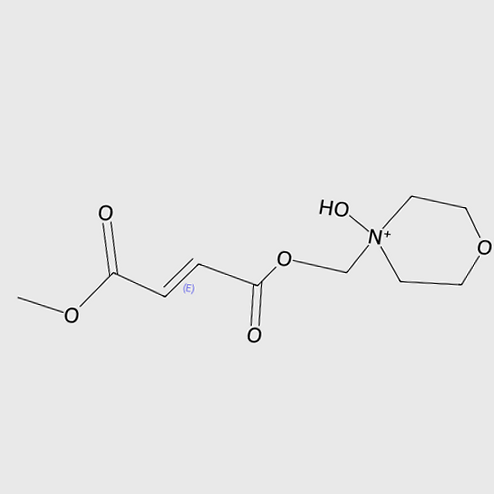 COC(=O)/C=C/C(=O)OC[N+]1(O)CCOCC1